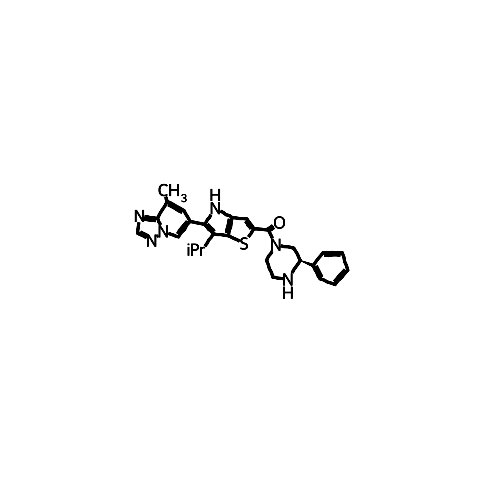 Cc1cc(-c2[nH]c3cc(C(=O)N4CCN[C@H](c5ccccc5)C4)sc3c2C(C)C)cn2ncnc12